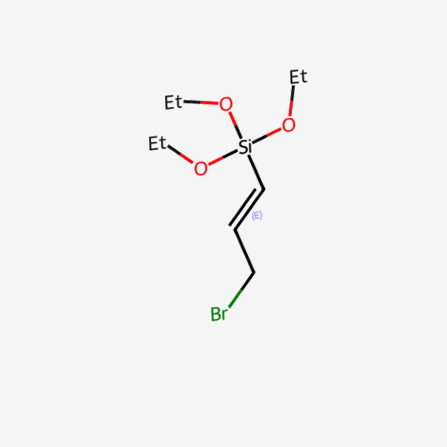 CCO[Si](/C=C/CBr)(OCC)OCC